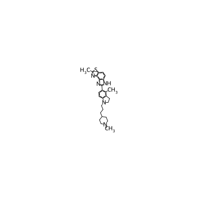 Cc1nc2c(ccc3[nH]c(-c4ccc5c(c4C)CCN5CCCC4CCN(C)CC4)nc32)s1